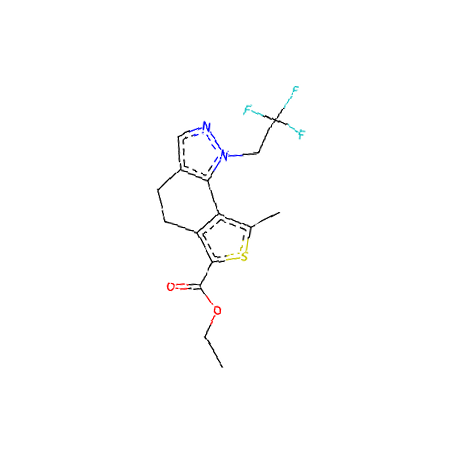 CCOC(=O)c1sc(C)c2c1CCc1cnn(CC(F)(F)F)c1-2